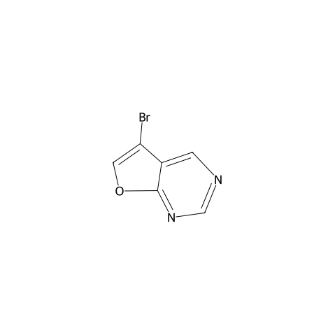 Brc1coc2ncncc12